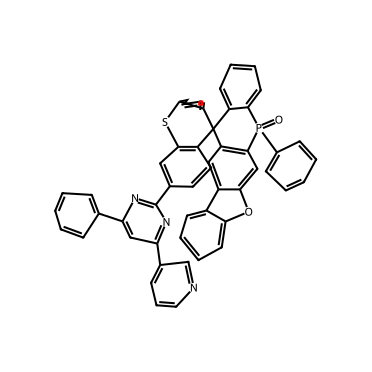 O=P1(c2ccccc2)c2ccccc2C2(c3ccccc3Sc3cc(-c4nc(-c5ccccc5)cc(-c5cccnc5)n4)ccc32)c2cc3c(cc21)oc1ccccc13